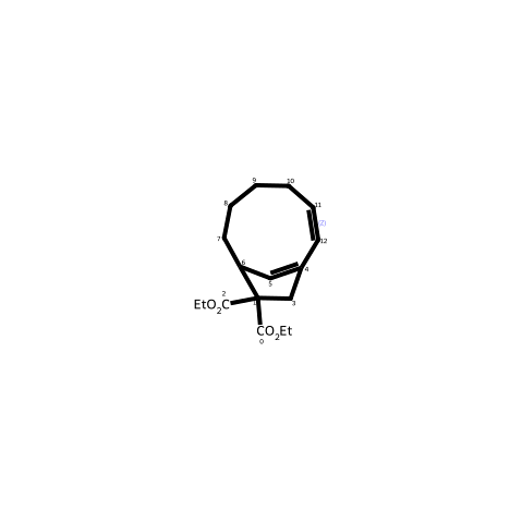 CCOC(=O)C1(C(=O)OCC)CC2=CC1CCCC/C=C\2